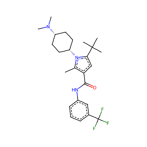 Cc1c(C(=O)Nc2cccc(C(F)(F)F)c2)cc(C(C)(C)C)n1[C@H]1CC[C@@H](N(C)C)CC1